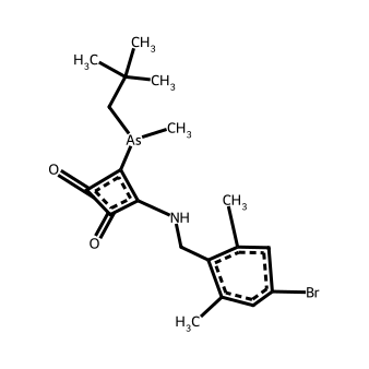 Cc1cc(Br)cc(C)c1CNc1c([As](C)CC(C)(C)C)c(=O)c1=O